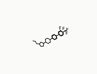 CCCC1CCC(C2CCC(c3ccc(-c4ccc(C(F)(F)F)c(F)c4)cc3)CC2)C1